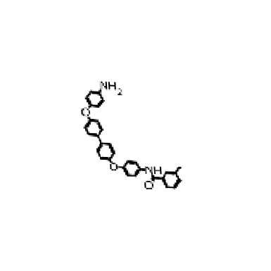 Cc1cccc(C(=O)Nc2ccc(Oc3ccc(-c4ccc(Oc5ccc(N)cc5)cc4)cc3)cc2)c1